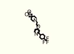 O=S1(=O)CC2(CCN(CCOc3ccnc(C4CCC(C(F)(F)F)CC4)c3)CC2)C1